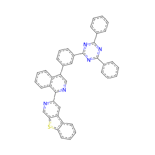 c1ccc(-c2nc(-c3ccccc3)nc(-c3cccc(-c4cnc(-c5cc6c(cn5)sc5ccccc56)c5ccccc45)c3)n2)cc1